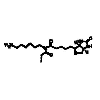 NCCCCCCN(C(=O)CI)C(=O)CCCC[C@@H]1SC[C@@H]2NC(=O)N[C@@H]21